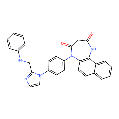 O=C1CC(=O)N(c2ccc(-n3ccnc3CNc3ccccc3)cc2)c2ccc3ccccc3c2N1